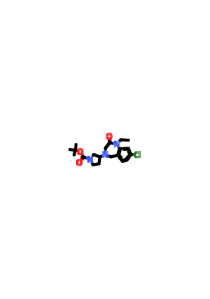 CCN1C(=O)CN(C2CCN(C(=O)OC(C)(C)C)C2)Cc2ccc(Cl)cc21